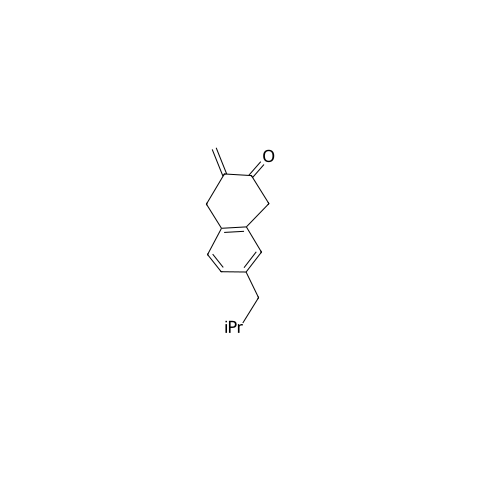 C=C1Cc2ccc(CC(C)C)cc2CC1=O